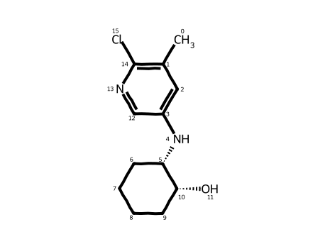 Cc1cc(N[C@H]2CCCC[C@H]2O)cnc1Cl